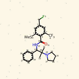 CSc1cc(CF)cc(C(F)(F)F)c1C(=O)NC(c1ccccc1)C(C)(C)N1CCCC1